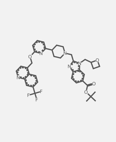 CC(C)(C)OC(=O)c1ccc2nc(CN3CCC(c4cccc(OCc5ccnc6cc(C(F)(F)F)ccc56)n4)CC3)n(CC3CCO3)c2c1